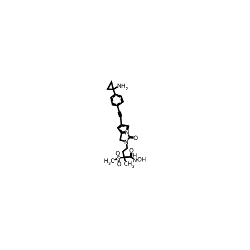 CC(CCN1Cc2cc(C#Cc3ccc(C4(N)CC4)cc3)cn2C1=O)(C(=O)NO)S(C)(=O)=O